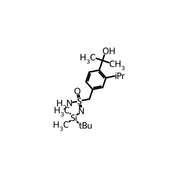 CC(C)c1cc(CS(N)(=O)=N[Si](C)(C)C(C)(C)C)ccc1C(C)(C)O